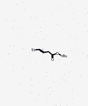 CC/C=C/CC(=O)OCCCC